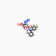 [N-]=[N+]=N[C@H]1C[C@@H](C(=O)N2CCc3ccccc3[C@@H]2c2ccc(F)cc2)OC[C@@H]1O